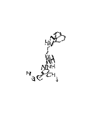 Cc1cc2nc(CNCCCCNC3CCCc4cccnc43)[nH]c2cc1C